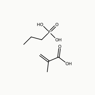 C=C(C)C(=O)O.CCCP(=O)(O)O